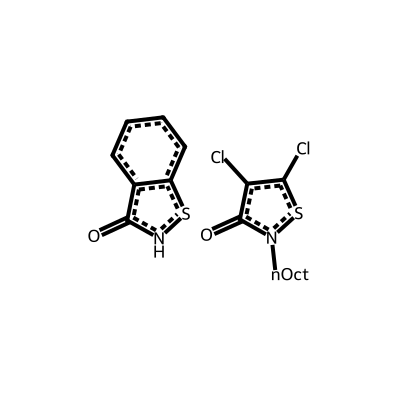 CCCCCCCCn1sc(Cl)c(Cl)c1=O.O=c1[nH]sc2ccccc12